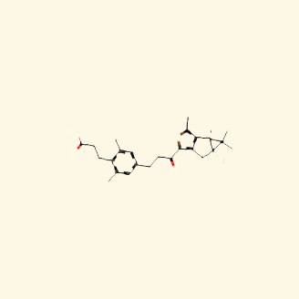 Cc1cc(CCC(=O)c2sc(C)c3c2C[C@@H]2[C@H]3C2(C)C)cc(C)c1CCC(=O)O